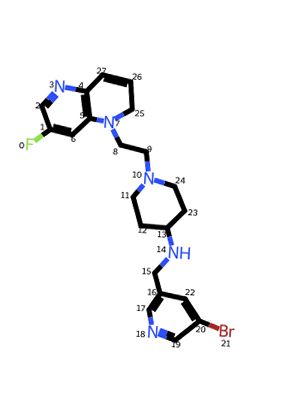 Fc1cnc2c(c1)N(CCN1CCC(NCc3cncc(Br)c3)CC1)CC=C2